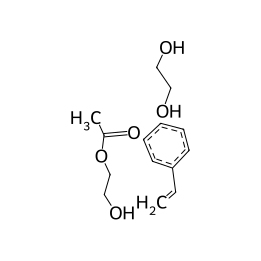 C=Cc1ccccc1.CC(=O)OCCO.OCCO